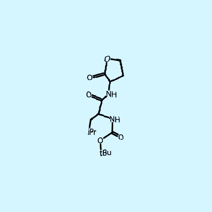 CC(C)CC(NC(=O)OC(C)(C)C)C(=O)NC1CCOC1=O